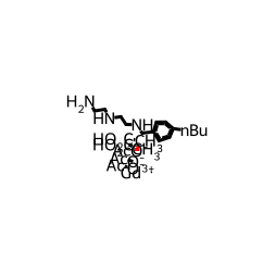 CC(=O)O.CC(=O)O.CC(=O)[O-].CC(=O)[O-].CC(=O)[O-].CCCCc1ccc(CNCCNCCN)cc1.[Gd+3]